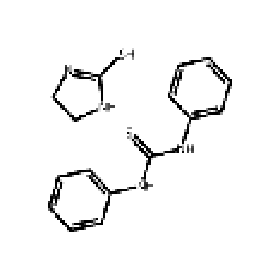 S=C(Nc1ccccc1)Nc1ccccc1.SC1=NCCN1